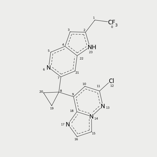 FC(F)(F)Cc1cc2cnc(C3(c4cc(Cl)nn5ccnc45)CC3)cc2[nH]1